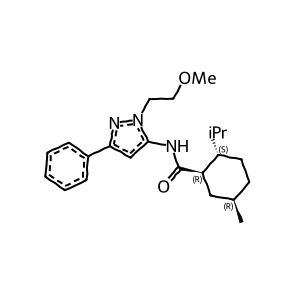 COCCn1nc(-c2ccccc2)cc1NC(=O)[C@@H]1C[C@H](C)CC[C@H]1C(C)C